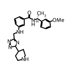 COc1cccc([C@@H](C)NC(=O)c2cccc(NCC3=NC(C4CCNCC4)N=N3)c2)c1